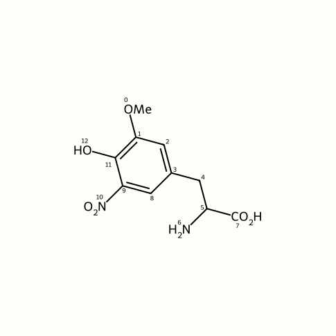 COc1cc(CC(N)C(=O)O)cc([N+](=O)[O-])c1O